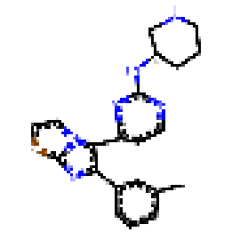 Cc1cccc(-c2nc3sccn3c2-c2ccnc(N[C@@H]3CCCNC3)n2)c1